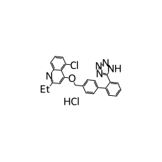 CCc1cc(OCc2ccc(-c3ccccc3-c3nnn[nH]3)cc2)c2c(Cl)cccc2n1.Cl